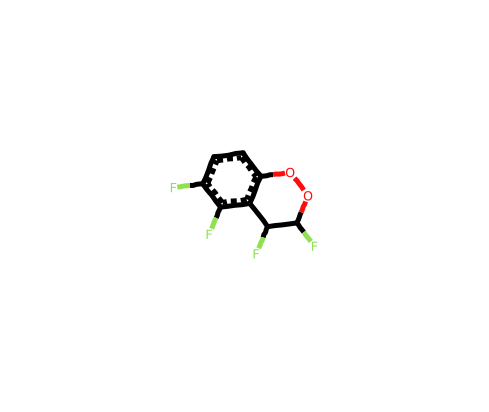 Fc1ccc2c(c1F)C(F)C(F)OO2